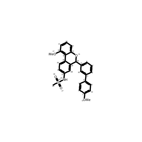 COc1ccc(-c2cccc(C3Oc4cccc(OC)c4-c4ccc(NS(C)(=O)=O)cc43)c2)cc1